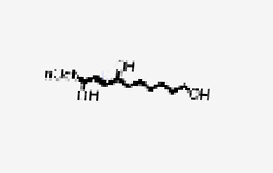 CCCCCCCCC(O)/C=C/C(O)CCCCCCO